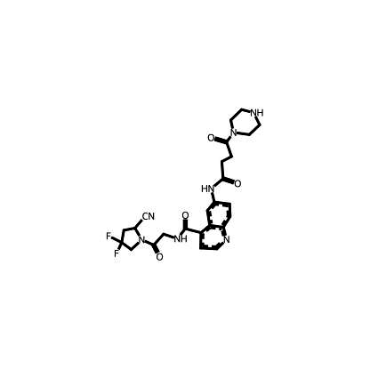 N#CC1CC(F)(F)CN1C(=O)CNC(=O)c1ccnc2ccc(NC(=O)CCC(=O)N3CCNCC3)cc12